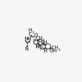 C[C@H](C(=O)[C@H]1CC[C@H]2[C@@H]3CC[C@@H]4C[C@](C)(O)CC[C@]4(C)[C@H]3CC[C@]12C)n1cc(C#N)cn1